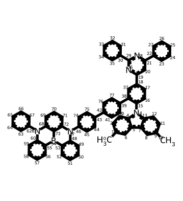 Cc1ccc2c(c1)c1cc(C)ccc1n2-c1ccc(-c2cc(-c3ccccc3)nc(-c3ccccc3)n2)cc1-c1ccc(-c2ccc(N3c4ccccc4B4c5ccccc5N(c5ccccc5)c5cccc3c54)cc2)cc1